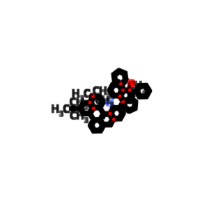 CC(C)(C)c1cc(-c2cccc3cccc(-c4ccccc4N(c4ccccc4-c4ccc5oc6ccccc6c5c4)c4cccc5c4-c4ccccc4C5(C)c4ccccc4)c23)cc(C(C)(C)C)c1